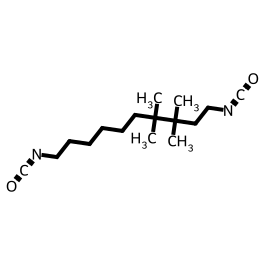 CC(C)(CCCCCCN=C=O)C(C)(C)CCN=C=O